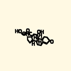 O=C[C@]12C[C@H](O)[C@H]3[C@@H](CCC4=CC(=O)CC[C@@H]43)[C@@H]1CC[C@@H]2C(=O)CO